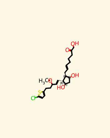 COC(C=C[C@@H]1[C@@H](CC=CCCCC(=O)CO)[C@@H](O)C[C@H]1O)CCc1ccc(Cl)s1